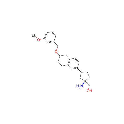 CCOc1cccc(COC2CCc3cc([C@H]4CC[C@](N)(CO)C4)ccc3C2)c1